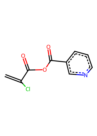 C=C(Cl)C(=O)OC(=O)c1cccnc1